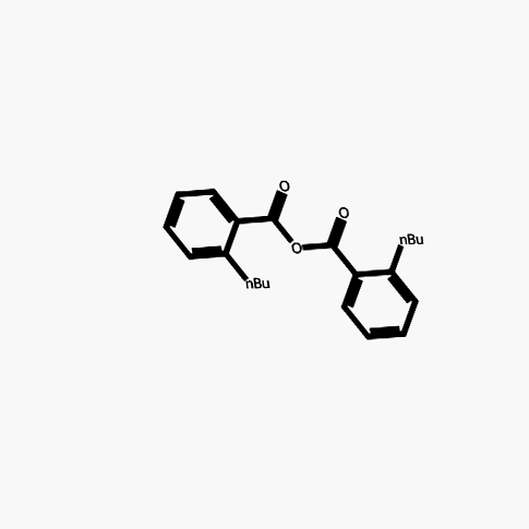 CCCCc1ccccc1C(=O)OC(=O)c1ccccc1CCCC